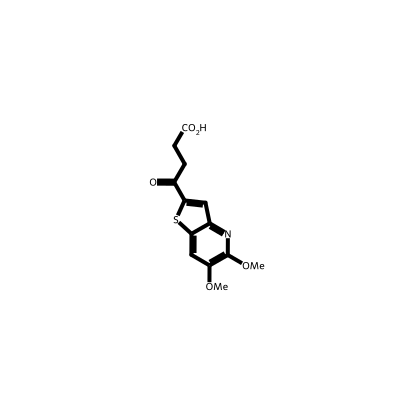 COc1cc2sc(C(=O)CCC(=O)O)cc2nc1OC